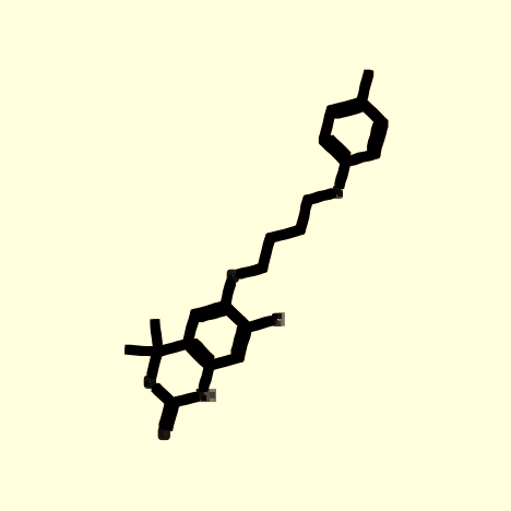 Cc1ccc(SCCCCOc2cc3c(cc2Cl)NC(=O)OC3(C)C)cc1